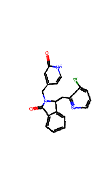 O=C1c2ccccc2C(Cc2ncccc2Br)N1Cc1cc[nH]c(=O)c1